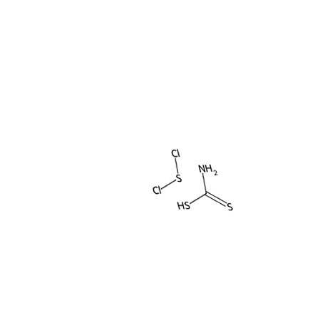 ClSCl.NC(=S)S